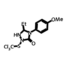 CCC1NN(SC(Cl)(Cl)Cl)C(=O)N1c1ccc(OC)cc1